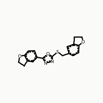 c1cc2c(cc1CSc1nnc(-c3ccc4c(c3)CCO4)o1)CCO2